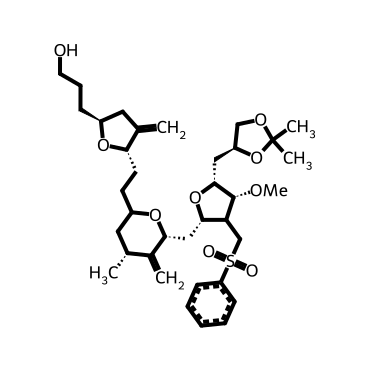 C=C1C[C@H](CCCO)O[C@H]1CCC1C[C@@H](C)C(=C)[C@@H](C[C@@H]2O[C@H](C[C@H]3COC(C)(C)O3)[C@H](OC)C2CS(=O)(=O)c2ccccc2)O1